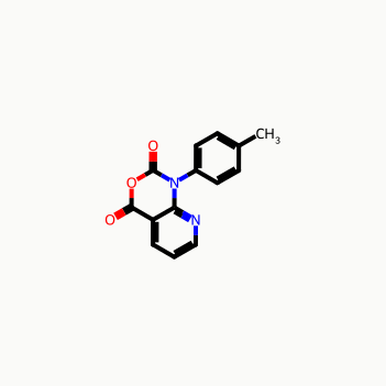 Cc1ccc(-n2c(=O)oc(=O)c3cccnc32)cc1